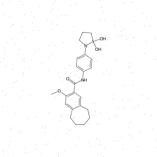 COc1cc2c(cc1C(=O)Nc1ccc(N3CCCS3(O)O)cc1)CCCCC2